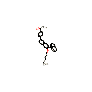 COC(=O)c1ccc(-c2ccc3cc(OCCCCCOC(C)=O)c(C45CC6CC(CC(C6)C4)C5)cc3c2)cc1